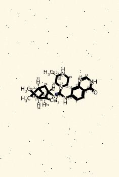 C[C@@H]1[C@@H](/N=C(/Nc2ccc3c(=O)[nH]cnc3c2)N2CCN[C@@H](C)C2)C[C@H]2C[C@@H]1C2(C)C